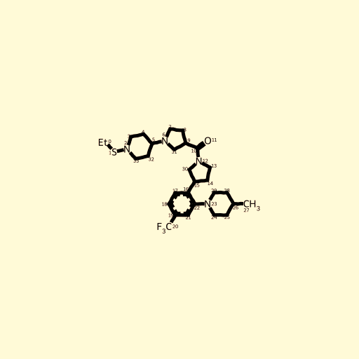 CCSN1CCC(N2CCC(C(=O)N3CCC(c4ccc(C(F)(F)F)cc4N4CCC(C)CC4)C3)C2)CC1